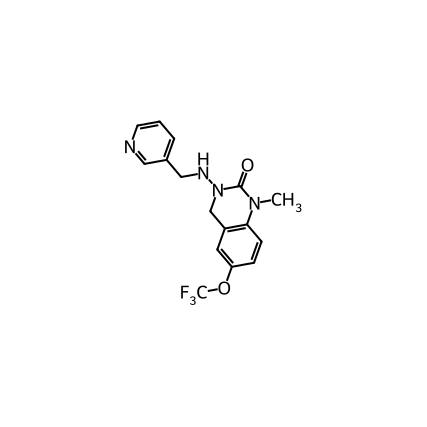 CN1C(=O)N(NCc2cccnc2)Cc2cc(OC(F)(F)F)ccc21